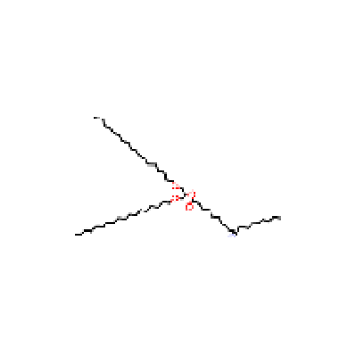 CCCCCCCC/C=C\CCCCCCCC(=O)OC(COCCCCCCCCCCCCCCCCCC)COCCCCCCCCCCCCCCCCCC